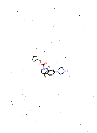 O=C(OCC1CCCC1)N1CC[C@@H]2C[C@H]1c1cc(N3CCNCC3)ccc12